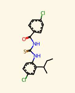 CCC(C)c1cc(Cl)ccc1NC(=S)NC(=O)c1ccc(Cl)cc1